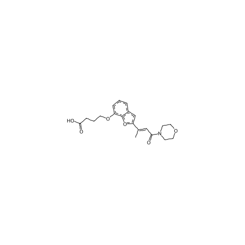 CC(=CC(=O)N1CCOCC1)c1cc2cccc(OCCCC(=O)O)c2o1